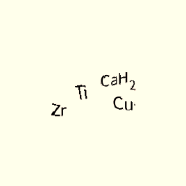 [CaH2].[Cu].[Ti].[Zr]